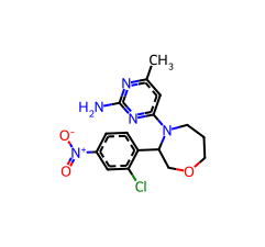 Cc1cc(N2CCCOCC2c2ccc([N+](=O)[O-])cc2Cl)nc(N)n1